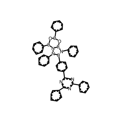 c1ccc(B2OB(c3ccccc3)N3B(O2)N(c2ccccc2)B(c2ccc(-c4nc(-c5ccccc5)nc(-c5ccccc5)n4)cc2)N3c2ccccc2)cc1